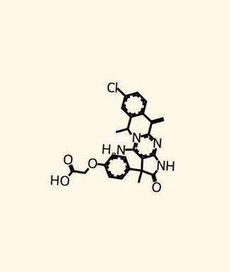 C=C(c1nc(N)c2c(n1)NC(=O)C2(C)c1ccc(OCC(=O)O)cc1)c1ccc(Cl)cc1C(C)C